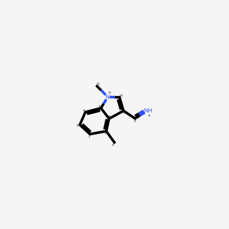 Cc1cccc2c1c(C=N)cn2C